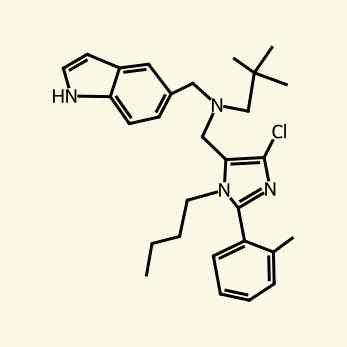 CCCCn1c(-c2ccccc2C)nc(Cl)c1CN(Cc1ccc2[nH]ccc2c1)CC(C)(C)C